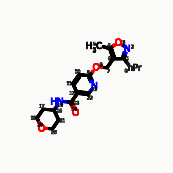 CCCc1noc(C)c1COc1ccc(C(=O)NC2CCOCC2)cn1